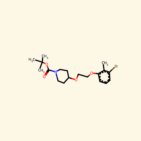 Cc1c(Br)cccc1OCCOC1CCN(C(=O)OC(C)(C)C)CC1